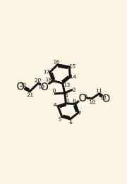 CC(C)(c1ccccc1OCC=O)c1ccccc1OCC=O